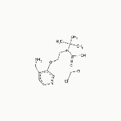 CC(C)(C)N(CCOc1cnccc1CN)C(=O)O.ClCCl